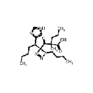 CCCCC(c1c[nH]cn1)[C@]1(C(=O)C(C)(CCC)C(=O)O)N=NN1CCCC